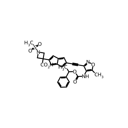 Cc1onc(C#CC2=CC3=CC(C4(C(=O)O)CN(S(C)(=O)=O)C4)=CC3=C2)c1NC(=O)OC(C)c1ccccc1